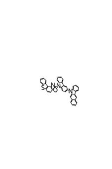 c1ccc2cc3c(cc2c1)c1ccccc1n3-c1ccc2c(c1)c1ccccc1n2-c1nc2c(ccc3sc4ccccc4c32)o1